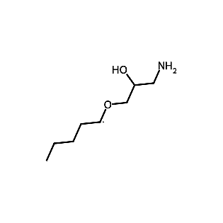 CCCC[CH]OCC(O)CN